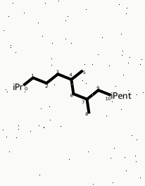 [CH2]C(C)CCCC(C)CC(C)CC(C)C[CH]C